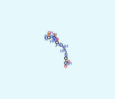 CCc1cc(Nc2ncc(Br)c(Nc3ccc4nccnc4c3P(C)(C)=O)n2)c(OC)cc1N1CCC(NCCNCC2CN(c3ccc(C4CCC(=O)NC4=O)cc3)C2)CC1